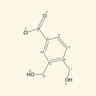 O=C(Cl)c1ccc(CO)c(CO)c1